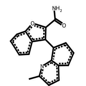 Cc1ccc2cccc(-c3c(C(N)=O)oc4ccccc34)c2n1